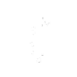 CCC/C=C/c1cccnc1C(=O)N1CCC[C@H]1C(=O)Nc1ccc(/C=C/c2ccc(NC(=O)[C@@H]3CCCN3C(=O)c3ncccc3/C=C/CCC)cc2)cc1